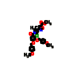 COC(=O)c1cc([C@]2(C)CCN(C(=O)c3ccc(OCc4ccc(OC)cc4)c(OCc4ccc(OC)cc4)c3Cl)C2)no1